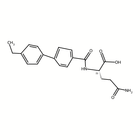 CCc1ccc(-c2ccc(C(=O)N[C@@H](CCC(N)=O)C(=O)O)cc2)cc1